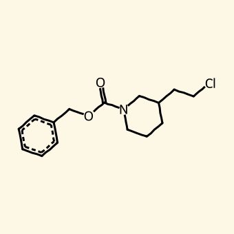 O=C(OCc1ccccc1)N1CCCC(CCCl)C1